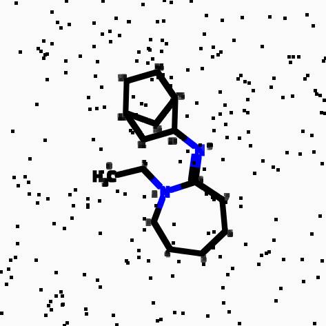 CCN1CCCCCC1=NC1CC2CCC1C2